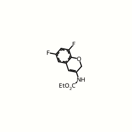 CCOC(=O)NC1=Cc2cc(F)cc(F)c2OC1